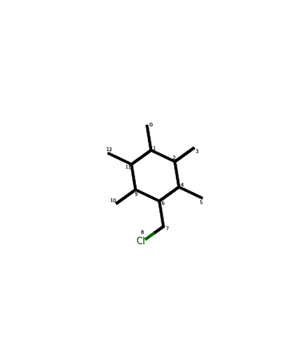 CC1C(C)C(C)C(CCl)C(C)C1C